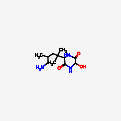 CC(CN)CC(C)(C)C1NC(=O)C(O)NC1=O